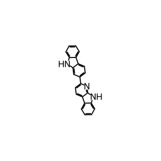 c1ccc2c(c1)[nH]c1cc(-c3ccc4c(n3)[nH]c3ccccc34)ccc12